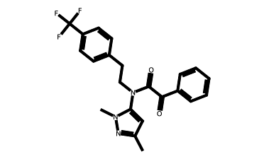 Cc1cc(N(CCc2ccc(C(F)(F)F)cc2)C(=O)C(=O)c2ccccc2)n(C)n1